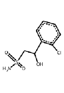 NS(=O)(=O)CC(O)c1ccccc1Cl